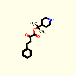 CC(C)(OC(=O)C(=O)CCc1ccccc1)C1CCNCC1